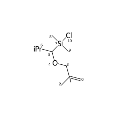 C=C(C)COC(C(C)C)[Si](C)(C)Cl